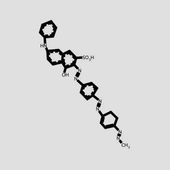 CN=NC1=CC=C(N=Nc2ccc(N=Nc3c(S(=O)(=O)O)cc4cc(Nc5ccccc5)ccc4c3O)cc2)CC1